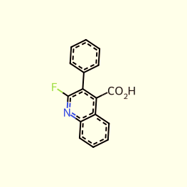 O=C(O)c1c(-c2ccccc2)c(F)nc2ccccc12